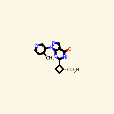 Cc1ccncc1-n1ncc2c(=O)[nH]c([C@@H]3CC[C@H]3C(=O)O)nc21